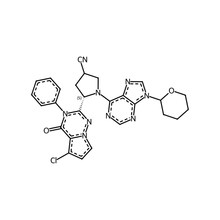 N#CC1C[C@@H](c2nn3ccc(Cl)c3c(=O)n2-c2ccccc2)N(c2ncnc3c2ncn3C2CCCCO2)C1